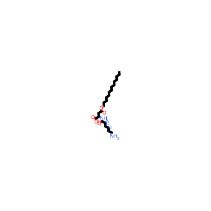 CCCCCCCCCCCCCCOC(=O)CC(NC(=O)C(N)CCCCN)C(=O)O